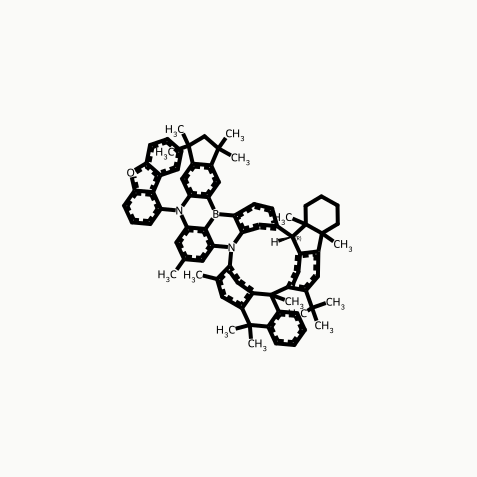 Cc1cc2c3c(c1)N(c1cccc4oc5ccccc5c14)c1cc4c(cc1B3c1ccc3cc1N2c1cc2c(cc1C)C(C)(C)c1ccccc1C2(C)c1cc2c(cc1C(C)(C)C)C1(C)CCCCC1(C)[C@@H]32)C(C)(C)CC4(C)C